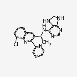 C[C@H](Nc1ncnc2c1NCN2)c1cc2cccc(Cl)c2nc1-c1ccccn1